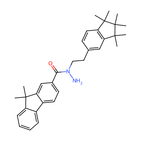 CC1(C)c2ccccc2-c2ccc(C(=O)N(N)CCc3ccc4c(c3)C(C)(C)C(C)(C)C4(C)C)cc21